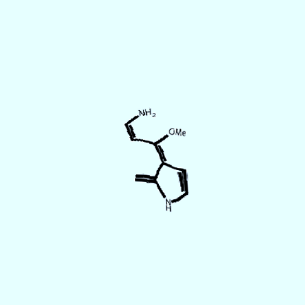 C=c1[nH]cc/c1=C(/C=C\N)OC